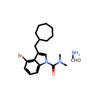 CN(C)C(=O)n1cc(CC2CCCCCC2)c2c(Br)cccc21.NC=O